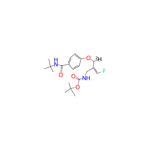 [2H]C(Oc1ccc(C(=O)NC(C)(C)C)cc1)/C(=C\F)CNC(=O)OC(C)(C)C